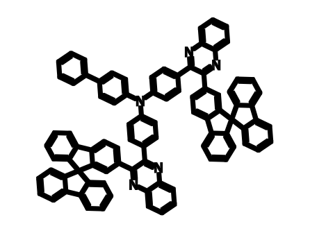 c1ccc(-c2ccc(N(c3ccc(-c4nc5ccccc5nc4-c4ccc5c(c4)C4(c6ccccc6-c6ccccc64)c4ccccc4-5)cc3)c3ccc(-c4nc5ccccc5nc4-c4ccc5c(c4)C4(c6ccccc6-c6ccccc64)c4ccccc4-5)cc3)cc2)cc1